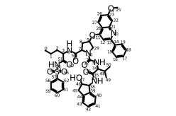 CCCC(NC(=O)C1CC(Oc2cc(-c3ccccc3)nc3cc(OC)ccc23)CN1C(=O)NC(C(=O)NC1c2ccccc2CC1O)C(C)C)C(=O)NS(=O)(=O)c1ccccc1